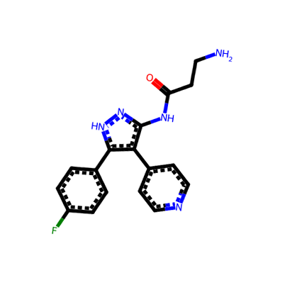 NCCC(=O)Nc1n[nH]c(-c2ccc(F)cc2)c1-c1ccncc1